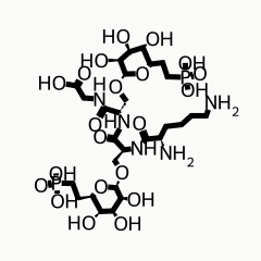 NCCCC[C@H](N)C(=O)N[C@@H](CO[C@H]1O[C@H](CCP(=O)(O)O)[C@@H](O)[C@H](O)[C@@H]1O)C(=O)N[C@@H](CO[C@H]1OC(CCP(=O)(O)O)[C@@H](O)[C@H](O)[C@@H]1O)C(=O)NCC(=O)O